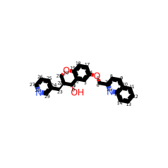 O[C@H]1c2cc(OCc3ccc4ccccc4n3)ccc2OC[C@@H]1Cc1cccnc1